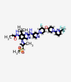 C=CC(=O)Nc1cc(N2C[C@H](CS(C)(=O)=O)[C@H]2C)c2cnc(Nc3ccnc(N4CC[C@@H](OC5CCN(c6cccc(C(F)(F)F)n6)CC5)[C@@H](F)C4)c3)nc2c1C(C)C